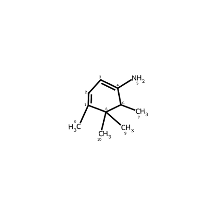 CC1=CC=C(N)C(C)C1(C)C